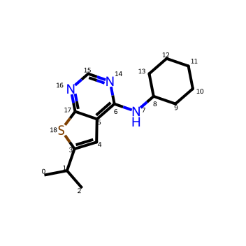 CC(C)c1cc2c(NC3CCCCC3)ncnc2s1